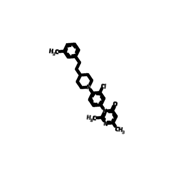 Cc1cccc(CCC2CCN(c3ccc(-n4c(C)nc(C)cc4=O)cc3Cl)CC2)c1